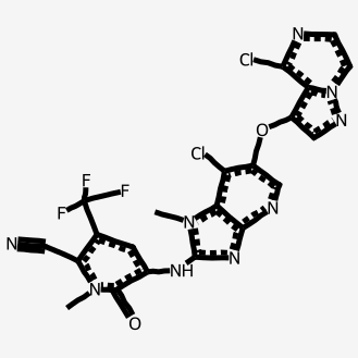 Cn1c(C#N)c(C(F)(F)F)cc(Nc2nc3ncc(Oc4cnn5ccnc(Cl)c45)c(Cl)c3n2C)c1=O